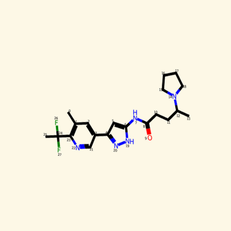 Cc1cc(-c2cc(NC(=O)CCC(C)N3CCCC3)[nH]n2)cnc1C(C)(F)F